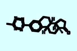 Cc1nnc(-c2ccc3c(c2)CC[C@@H]2[C@@H]3CC[C@]3(C)C(=O)CC[C@@H]23)nn1